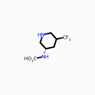 O=C(O)N[C@@H]1CNCC(C(F)(F)F)C1